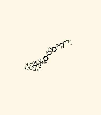 CCNCCOc1ccc2c(c1)sc1nc(-c3ccc(NC(=O)Nc4cc(C(C)(C)C)on4)cc3)cn12